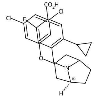 O=C(O)c1cc(C2CC2)c(CN2C3CC[C@H]2CC(Oc2cc(Cl)cc(Cl)c2)C3)cc1F